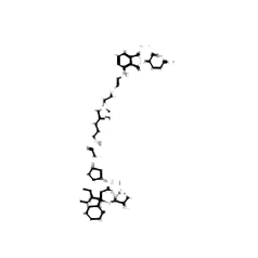 CCC(CC)C1(C2CCCCC2)CC(N[C@H]2CC[C@H](NCC(=O)NCCCC3CN(CCOCCNc4cccc5c4C(=O)N(C4CCC(=O)NC4=O)C5=O)NN3)C2)N2NCC(Cl)C2N1